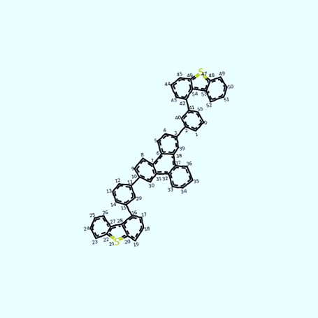 c1cc(-c2ccc3c4ccc(-c5cccc(-c6cccc7sc8ccccc8c67)c5)cc4c4ccccc4c3c2)cc(-c2cccc3sc4ccccc4c23)c1